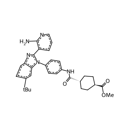 COC(=O)[C@H]1CC[C@H](C(=O)Nc2ccc(-n3c(-c4cccnc4N)nc4ccc(C(C)(C)C)cc43)cc2)CC1